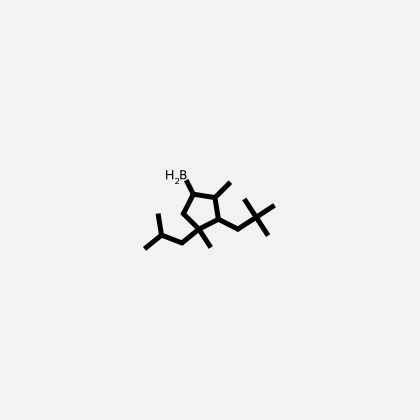 BC1CC(C)(CC(C)C)C(CC(C)(C)C)C1C